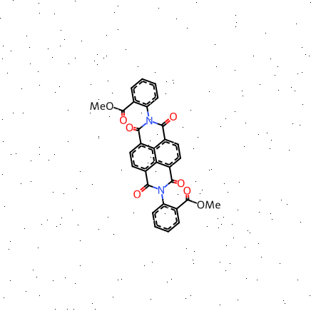 COC(=O)c1ccccc1N1C(=O)c2ccc3c4c(ccc(c24)C1=O)C(=O)N(c1ccccc1C(=O)OC)C3=O